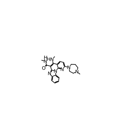 CNC(=O)c1c(NC)c2ccc(N3CCCN(C)CC3)nc2n2c1nc1ccccc12